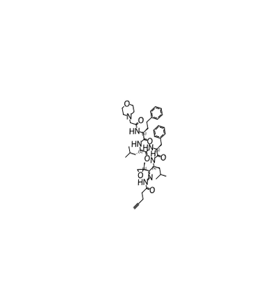 C#CCCC(=O)NN=C([C@H](CC(C)C)NC(=O)[C@H](Cc1ccccc1)NC(=O)[C@H](CC(C)C)NC(=O)[C@H](CCc1ccccc1)NC(=O)CN1CCOCC1)[C@@]1(C)CO1